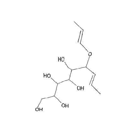 CC=COC(C=CC)C(O)C(O)C(O)C(O)CO